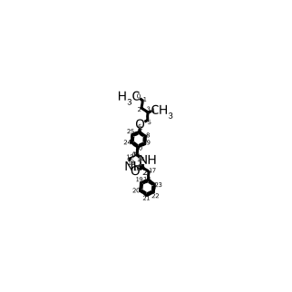 CCCC(C)COc1ccc([C@H](CN)NC(=O)Cc2ccccc2)cc1